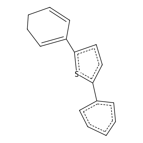 C1=CC(c2ccc(-c3ccccc3)s2)=CCC1